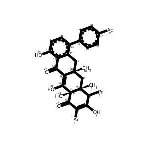 CC(=O)C1=C(O)C(C(C)C)[C@@]2(C)C[C@@]3(C)Cc4c(-c5ccc(C(C)=O)cc5)ccc(O)c4C(=O)C3=C(O)[C@@]2(O)C1=O